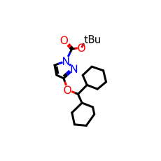 CC(C)(C)OC(=O)n1ccc(OC(C2CCCCC2)C2CCCCC2)n1